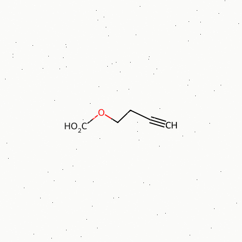 C#CCCOC(=O)O